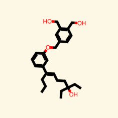 CCCC(=CCCC(O)(CC)CC)c1cccc(OCc2ccc(CO)c(CO)c2)c1